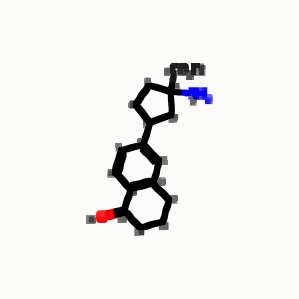 CCOC(=O)C1(N)CCC(c2ccc3c(c2)CCCC3=O)C1